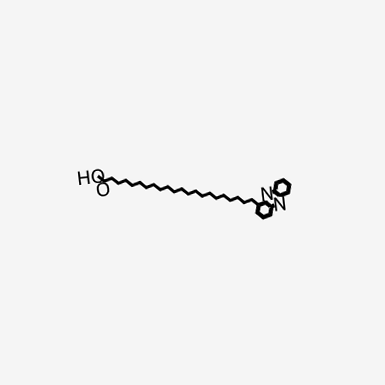 O=C(O)CCCCCCCCCCCCCCCCCCCCCc1cccc2nc3ccccc3nc12